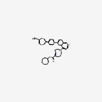 CCCC1=CCCC(c2ccc(C3=CCC4=CN=CC=C(N5CC/C=C(\C(=O)CC6=CCCCCC6)CCC5)C4=C3)cc2)CC1